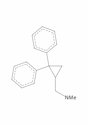 CNCC1CC1(c1ccccc1)c1ccccc1